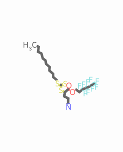 CCCCCCCCCCCCSC(=S)SC(CCC#N)C(=O)OCCC(F)(F)C(F)(F)C(F)(F)C(F)(F)F